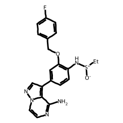 CC[S+]([O-])Nc1ccc(-c2cnn3ccnc(N)c23)cc1OCc1ccc(F)cc1